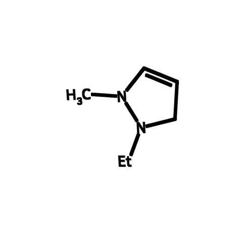 CCN1CC=CN1C